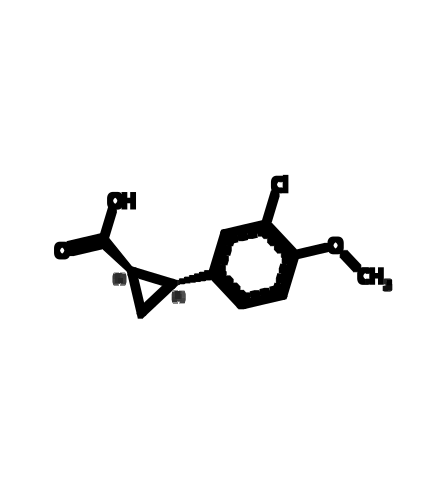 COc1ccc([C@@H]2C[C@H]2C(=O)O)cc1Cl